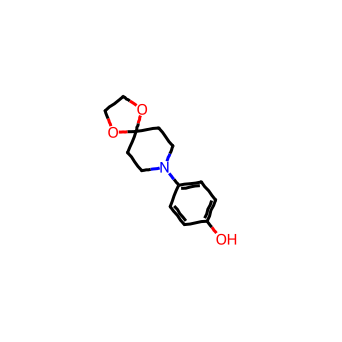 Oc1ccc(N2CCC3(CC2)OCCO3)cc1